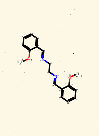 COc1ccccc1C=NCCN=Cc1ccccc1OC